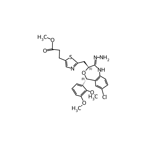 COC(=O)CCc1cnc(C[C@@H]2O[C@@H](c3cccc(OC)c3OC)c3cc(Cl)ccc3NC2=NN)s1